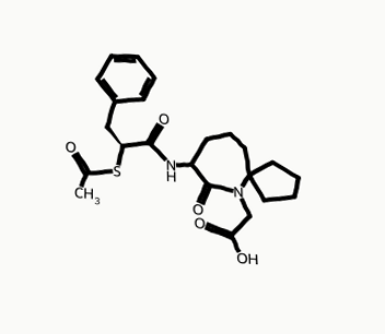 CC(=O)S[C@@H](Cc1ccccc1)C(=O)NC1CCCC2(CCCC2)N(CC(=O)O)C1=O